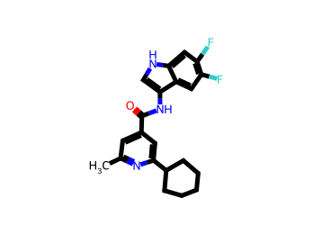 Cc1cc(C(=O)Nc2c[nH]c3cc(F)c(F)cc23)cc(C2CCCCC2)n1